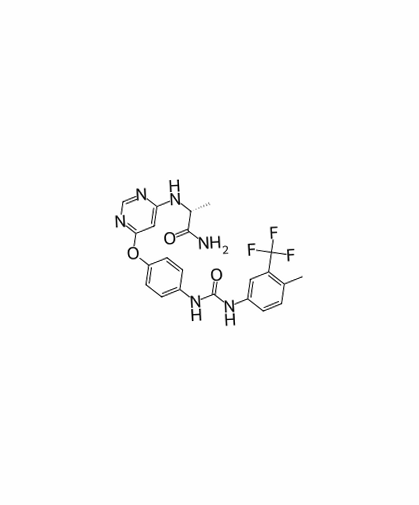 Cc1ccc(NC(=O)Nc2ccc(Oc3cc(N[C@H](C)C(N)=O)ncn3)cc2)cc1C(F)(F)F